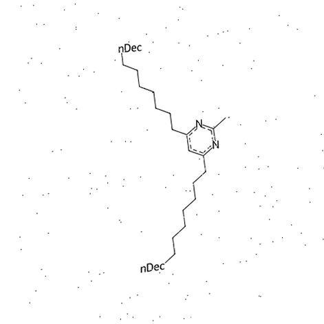 [CH2]c1nc(CCCCCCCCCCCCCCCCC)cc(CCCCCCCCCCCCCCCCC)n1